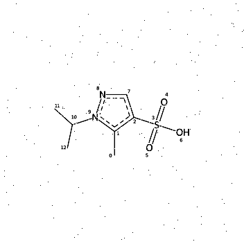 Cc1c(S(=O)(=O)O)cnn1C(C)C